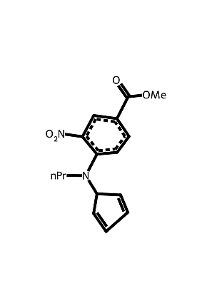 CCCN(c1ccc(C(=O)OC)cc1[N+](=O)[O-])C1C=CC=C1